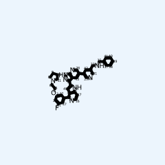 Fc1cc(OCCN2CCCC2)cc(-c2nccc3[nH]c(-c4n[nH]c5ncc(-c6cncc(CNCc7ccccc7)c6)cc45)cc23)c1